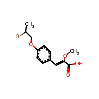 CO/C(=C\c1ccc(OCC(C)Br)cc1)C(=O)O